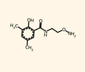 Cc1cc(C)c(O)c(C(=O)NCCON)c1